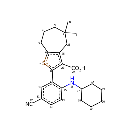 CC1(C)CCCc2sc(-c3cc(C#N)ccc3NC3CCCCC3)c(C(=O)O)c2C1